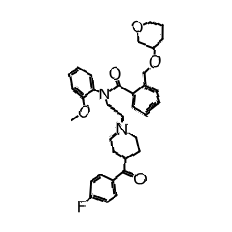 COc1ccccc1N(CCN1CCC(C(=O)c2ccc(F)cc2)CC1)C(=O)c1ccccc1COC1CCCOC1